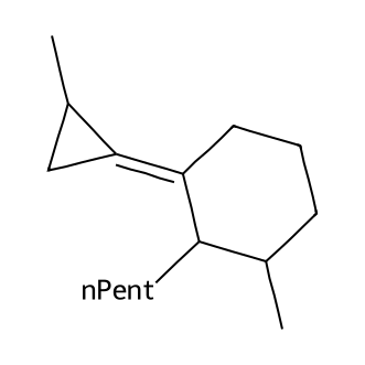 CCCCCC1C(=C2CC2C)CCCC1C